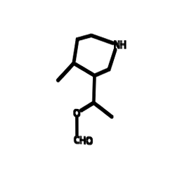 CC1CCNCC1C(C)OC=O